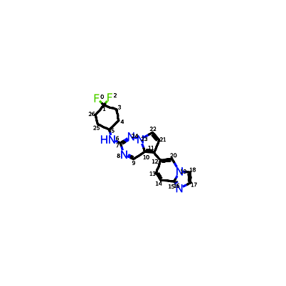 FC1(F)CCC(Nc2ncc3c(-c4ccc5nccn5c4)ccn3n2)CC1